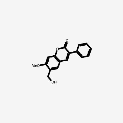 COc1cc2oc(=O)c(-c3ccccc3)cc2cc1CO